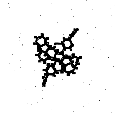 Cc1cc(C#N)ccc1-c1c2cc3c4ccccc4c4cccc(c2c(-c2ccc(C#N)cc2C)c2c5cccc6cccc(c12)c65)c43